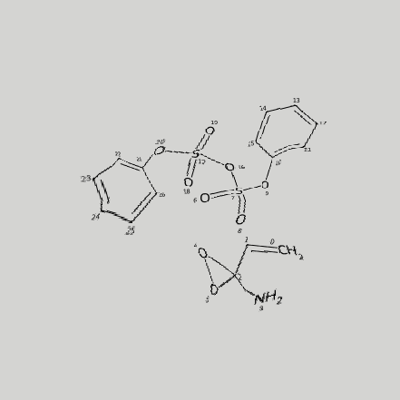 C=CC1(N)OO1.O=S(=O)(Oc1ccccc1)OS(=O)(=O)Oc1ccccc1